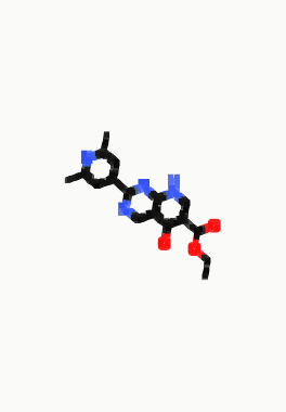 CCOC(=O)c1c[nH]c2nc(-c3cc(C)nc(C)c3)ncc2c1=O